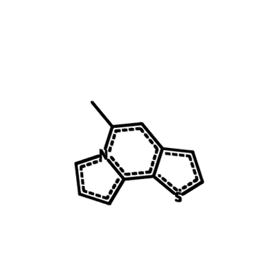 Cc1cc2ccsc2c2cccn12